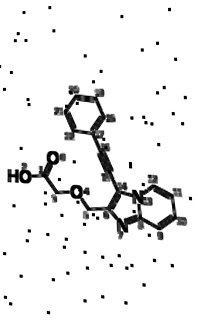 O=C(O)COCc1nc2ccccn2c1C#Cc1ccccc1